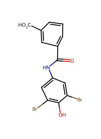 O=C(O)c1cccc(C(=O)Nc2cc(Br)c(O)c(Br)c2)c1